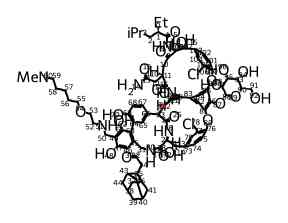 CC[C@H](CC(C)C)C(=O)N[C@H]1C(=O)C[C@@H](CC(N)=O)C(=O)N[C@H]2C(=O)C[C@H]3C(=O)N[C@H](C(=O)N[C@H](C(=O)CC4C5CC6CC(C5)CC4C6)c4cc(O)c(CNCCOCCCCCNC)c(O)c4-c4cc3ccc4O)[C@H](O)c3ccc(c(Cl)c3)Oc3cc2cc(c3O[C@@H]2O[C@H](CO)[C@@H](O)[C@H](O)[C@H]2O)Oc2ccc(cc2Cl)[C@H]1O